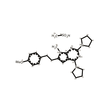 COc1ccc(CCc2cc3c(N4CCCC4)nc(N4CCCC4)nc3n2C)cc1.CS(=O)(=O)O